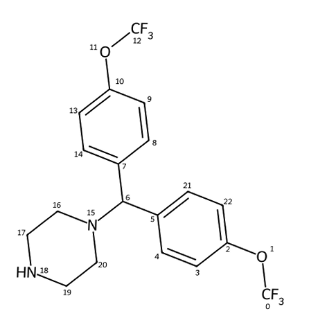 FC(F)(F)Oc1ccc(C(c2ccc(OC(F)(F)F)cc2)N2CCNCC2)cc1